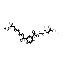 C=C(C)COCCOC(=O)c1cccc(C(=O)OCCOCC(=C)C)c1